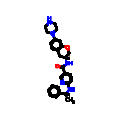 C[C@@H](Nc1ccc(C(=O)N[C@H]2COc3cc(N4CCNCC4)ccc3C2)cn1)c1ccccc1